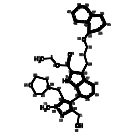 CCOC(=O)c1[nH]c2c(-c3c(CO)nn(C)c3CN3CCOCC3)cccc2c1CCCOc1cccc2ccccc12